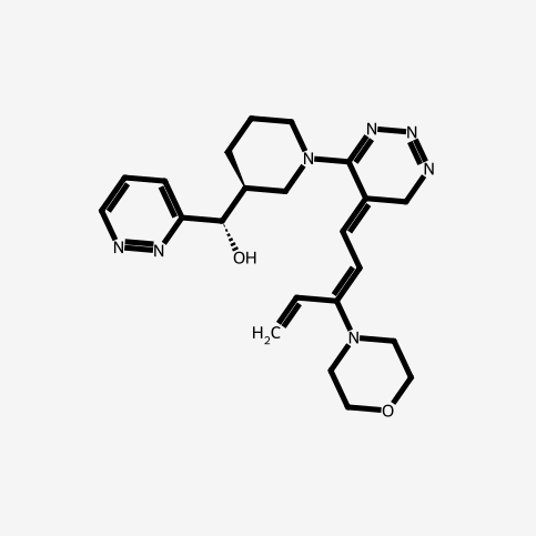 C=C/C(=C\C=C1/CN=NN=C1N1CCC[C@H]([C@H](O)c2cccnn2)C1)N1CCOCC1